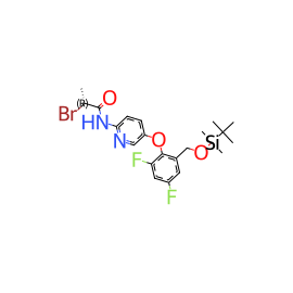 C[C@@H](Br)C(=O)Nc1ccc(Oc2c(F)cc(F)cc2CO[Si](C)(C)C(C)(C)C)cn1